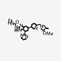 C=C1CN(Cc2ccc(-c3cc(-c4ncccn4)c4[nH]c(NC(=O)NCC)nc4c3)cn2)C[C@H]1OC